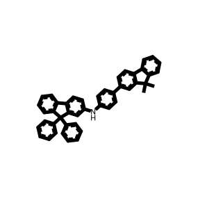 CC1(C)c2ccccc2-c2ccc(-c3ccc(Nc4ccc5c(c4)C(c4ccccc4)(c4ccccc4)c4ccccc4-5)cc3)cc21